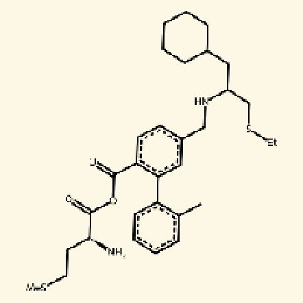 CCSCC(CC1CCCCC1)NCc1ccc(C(=O)OC(=O)[C@@H](N)CCSC)c(-c2ccccc2C)c1